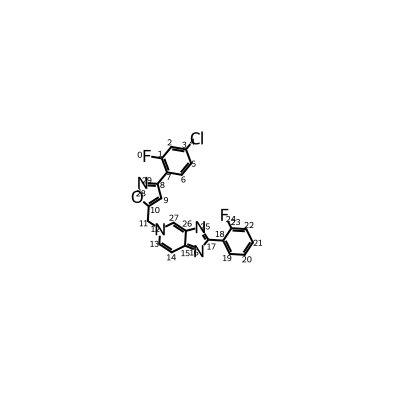 Fc1cc(Cl)ccc1-c1cc(Cn2ccc3nc(-c4ccccc4F)nc-3c2)on1